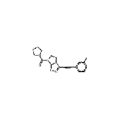 Cc1cccc(C#CC2=NOC3C2CCN3C(=O)N2CCCC2)c1